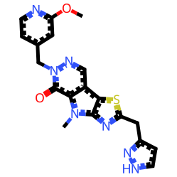 COc1cc(Cn2ncc3c4sc(Cc5cc[nH]n5)nc4n(C)c3c2=O)ccn1